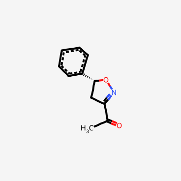 CC(=O)C1=NO[C@@H](c2ccccc2)C1